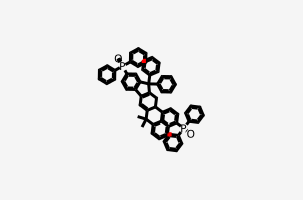 CC1(C)C2=CC3=C(CC2c2ccc(P(=O)(c4ccccc4)c4ccccc4)c4cccc1c24)C(c1ccccc1)(c1ccccc1)c1cc(P(=O)(c2ccccc2)c2ccccc2)ccc13